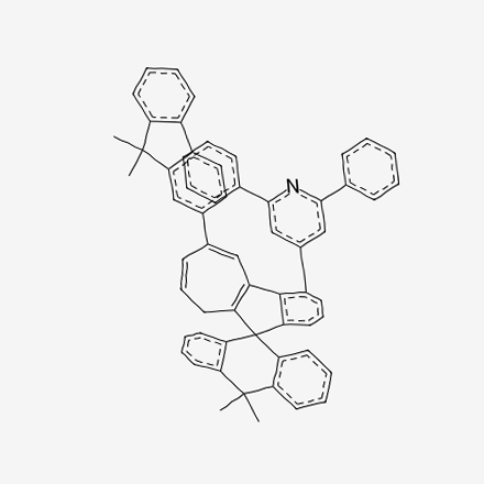 CC1(C)c2ccccc2-c2ccc(C3=CC4=C(CC=C3)C3(c5ccccc5C(C)(C)c5ccccc53)c3cccc(-c5cc(-c6ccccc6)nc(-c6ccccc6)c5)c34)cc21